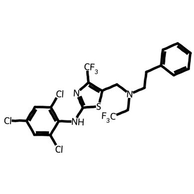 FC(F)(F)CN(CCc1ccccc1)Cc1sc(Nc2c(Cl)cc(Cl)cc2Cl)nc1C(F)(F)F